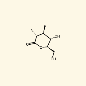 C[C@H]1[C@H](O)[C@@H](CO)OC(=O)[C@@H]1C